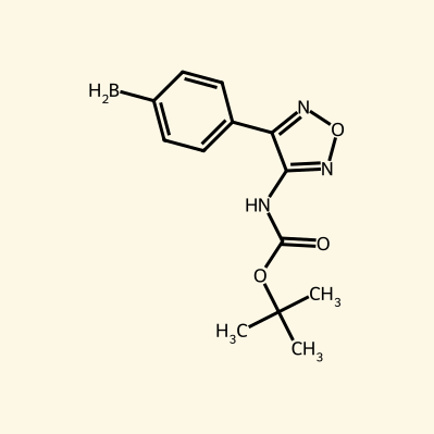 Bc1ccc(-c2nonc2NC(=O)OC(C)(C)C)cc1